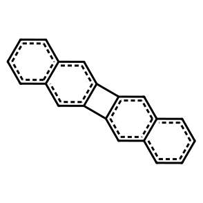 c1ccc2cc3c(cc2c1)-c1cc2ccccc2cc1-3